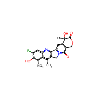 CC[C@@]1(O)C(=O)OCc2c1cc1n(c2=O)Cc2c-1nc1cc(F)c(O)c([N+](=O)[O-])c1c2C